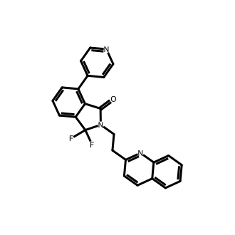 O=C1c2c(-c3ccncc3)cccc2C(F)(F)N1CCc1ccc2ccccc2n1